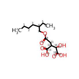 CCCCC(CC)COC(=O)CC(C(=O)O)C(O)C(=O)O